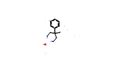 CCOC(=O)C(C#N)C1(c2cccc(F)c2)CCN(C(=O)OC(C)(C)C)CC1